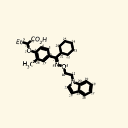 CCC(Oc1ccc(C(=NOCCn2ccc3ccccc32)C2CCCCC2)cc1C)C(=O)O